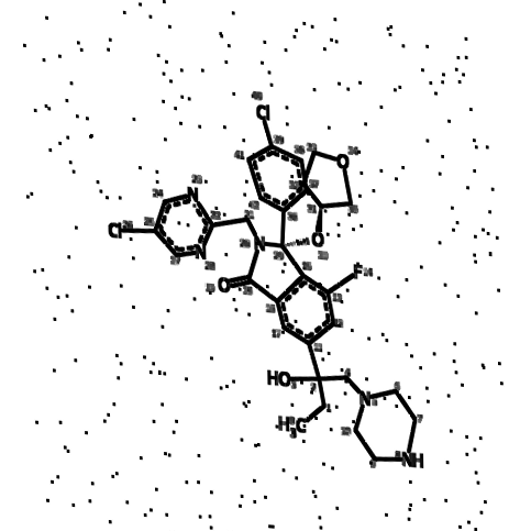 CCC(O)(CN1CCNCC1)c1cc(F)c2c(c1)C(=O)N(Cc1ncc(Cl)cn1)[C@@]2(O[C@H]1CCOC1)c1ccc(Cl)cc1